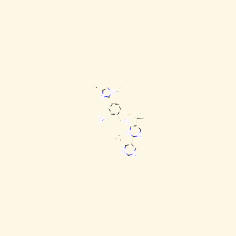 COc1ncnc(C2CC2)c1-c1ncc2c(n1)N(Cc1ccc(-c3nc(C(F)(F)F)cn3C(C)C)cc1CN(C)C)S(=O)(=O)C21CC1